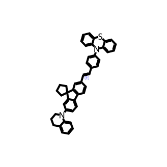 C(=C\c1ccc2c(c1)C1(CCCC1)c1cc(N3CCCc4ccccc43)ccc1-2)/c1ccc(N2c3ccccc3Sc3ccccc32)cc1